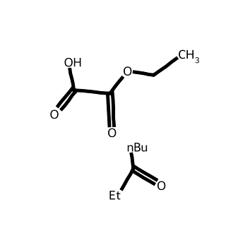 CCCCC(=O)CC.CCOC(=O)C(=O)O